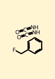 FCc1ccccc1.N=C=O.N=C=O